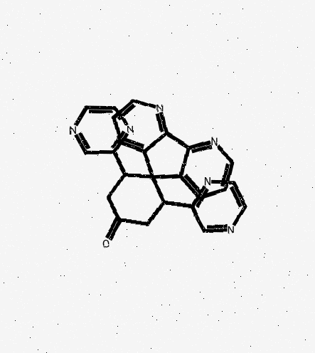 O=C1CC(c2cnccn2)C2(c3cccnc3-c3ncccc32)C(c2cnccn2)C1